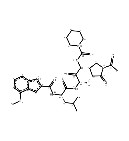 COc1cccc2[nH]c(C(=O)N[C@@H](CC(C)C)C(=O)N[C@@H](C[C@@H]3CCN(C(C)=O)C3=O)C(=O)COC(=O)N3CCCCC3)cc12